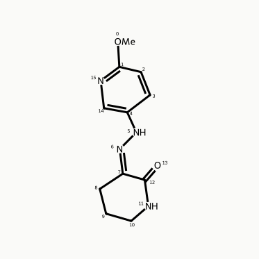 COc1ccc(N/N=C2/CCCNC2=O)cn1